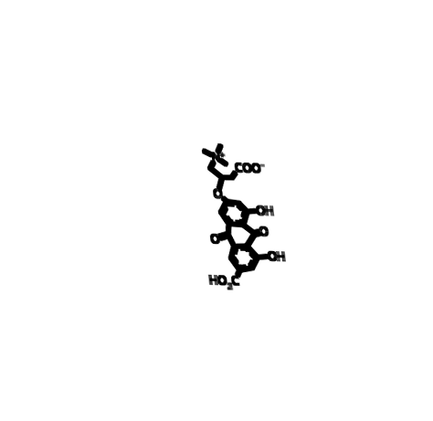 C[N+](C)(C)CC(CC(=O)[O-])Oc1cc(O)c2c(c1)C(=O)c1cc(C(=O)O)cc(O)c1C2=O